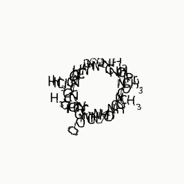 CC(C)[C@H]1C(=O)NC[C@@H](N)C(=O)N2CCCC[C@H]2C(=O)NCC(=O)N(C)CC(=O)N(C)[C@@H](c2ccccc2)C(=O)NC[C@@H](NC(=O)OCc2ccccc2)C(=O)N2CCCC[C@H]2C(=O)NCC(=O)N(C)CC(=O)N1C.Cl